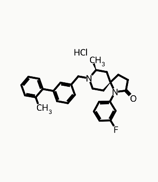 Cc1ccccc1-c1cccc(CN2CC[C@]3(CCC(=O)N3c3cccc(F)c3)C[C@@H]2C)c1.Cl